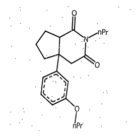 CCCOc1cccc(C23CCCC2C(=O)N(CCC)C(=O)C3)c1